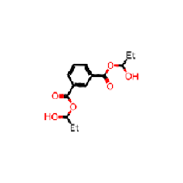 CCC(O)OC(=O)c1cccc(C(=O)OC(O)CC)c1